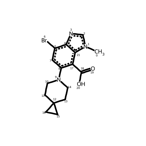 Cn1cnc2c(Br)cc(N3CCC4(CC3)CC4)c(C(=O)O)c21